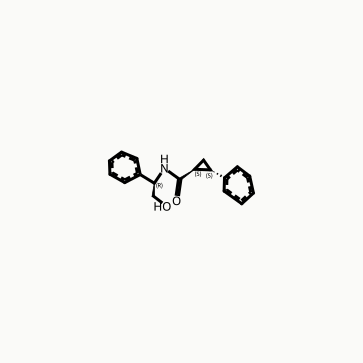 O=C(N[C@@H](CO)c1ccccc1)[C@H]1C[C@@H]1c1ccccc1